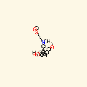 CN(CCCCCCOC1CCCCO1)c1ccc([C@H]2C[C@]3(C)[C@@H](O)CC[C@H]3[C@@H]3CCC4=CC(=O)CCC4=C32)cc1